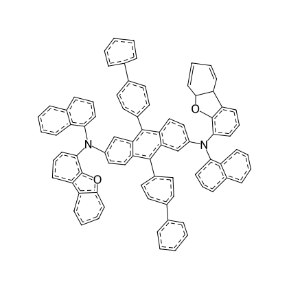 C1=CC2Oc3c(cccc3N(c3ccc4c(-c5ccc(-c6ccccc6)cc5)c5cc(N(c6cccc7ccccc67)c6cccc7c6oc6ccccc67)ccc5c(-c5ccc(-c6ccccc6)cc5)c4c3)c3cccc4ccccc34)C2C=C1